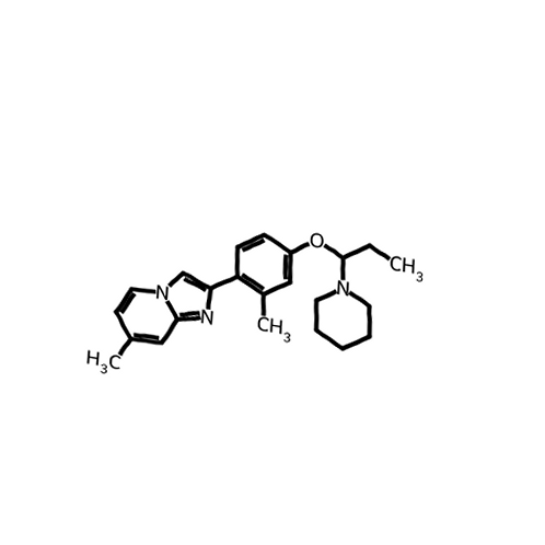 CCC(Oc1ccc(-c2cn3ccc(C)cc3n2)c(C)c1)N1CCCCC1